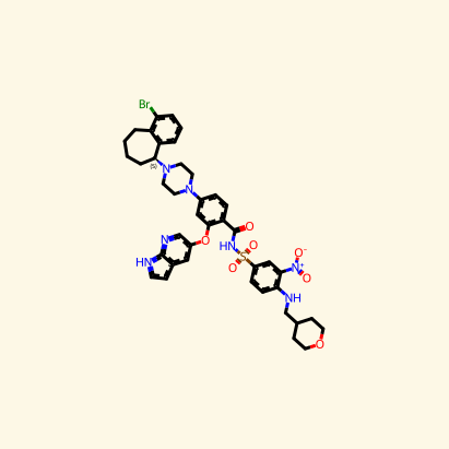 O=C(NS(=O)(=O)c1ccc(NCC2CCOCC2)c([N+](=O)[O-])c1)c1ccc(N2CCN([C@H]3CCCCc4c(Br)cccc43)CC2)cc1Oc1cnc2[nH]ccc2c1